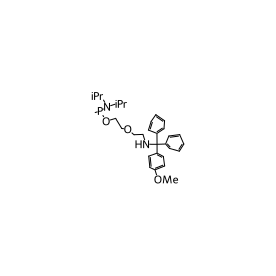 COc1ccc(C(NCCOCCOP(C)N(C(C)C)C(C)C)(c2ccccc2)c2ccccc2)cc1